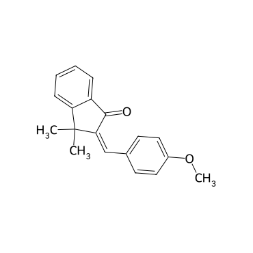 COc1ccc(/C=C2\C(=O)c3ccccc3C2(C)C)cc1